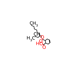 CCCCCCCC(CC(C)C)OC(=O)C1CC=CCC1C(=O)O